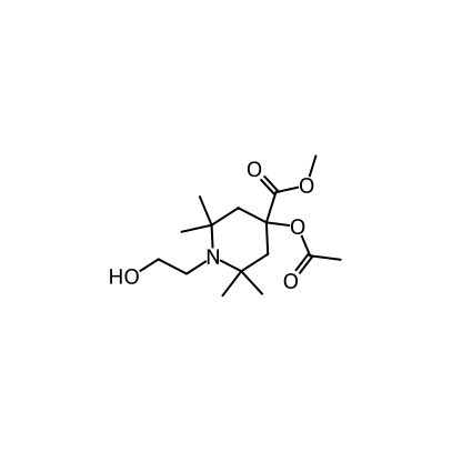 COC(=O)C1(OC(C)=O)CC(C)(C)N(CCO)C(C)(C)C1